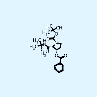 CC(C)(C)NC(=O)[C@@H]1[C@@H](OC(=O)c2ccccc2)CCN1C(=O)OC(C)(C)C